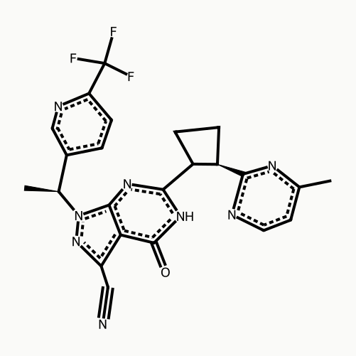 Cc1ccnc([C@@H]2CCC2c2nc3c(c(C#N)nn3[C@@H](C)c3ccc(C(F)(F)F)nc3)c(=O)[nH]2)n1